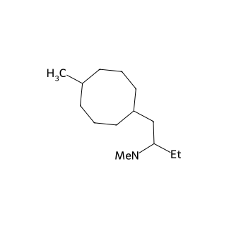 CCC(CC1CCCC(C)CCC1)NC